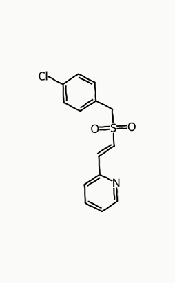 O=S(=O)(C=Cc1ccccn1)Cc1ccc(Cl)cc1